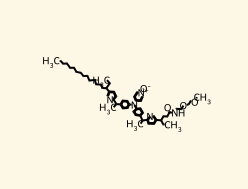 CCCCCCCCCCCCCCCC(CC)c1ccc(C(C)c2ccc(N(c3ccc(C(C)c4ccc(C(CC)CCC(=O)NCCOCCOC)cn4)cc3)c3cc[n+]([O-])cc3)cc2)nc1